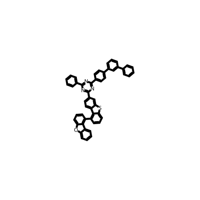 c1ccc(-c2cccc(-c3ccc(-c4nc(-c5ccccc5)nc(-c5ccc6c(c5)sc5cccc(-c7cccc8oc9ccccc9c78)c56)n4)cc3)c2)cc1